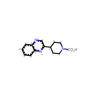 O=C(O)N1CCC(c2cnc3ccccc3n2)CC1